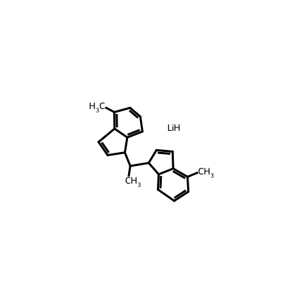 Cc1cccc2c1C=CC2C(C)C1C=Cc2c(C)cccc21.[LiH]